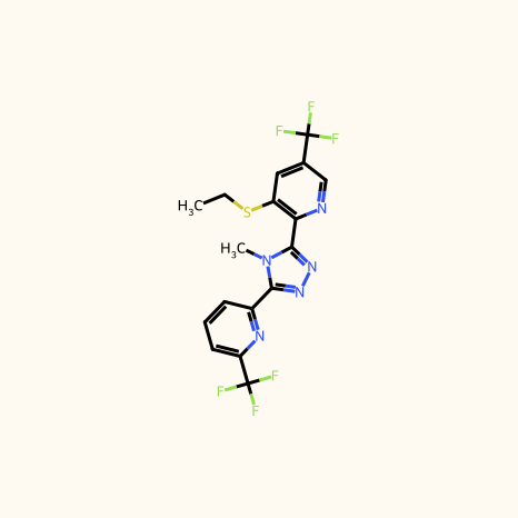 CCSc1cc(C(F)(F)F)cnc1-c1nnc(-c2cccc(C(F)(F)F)n2)n1C